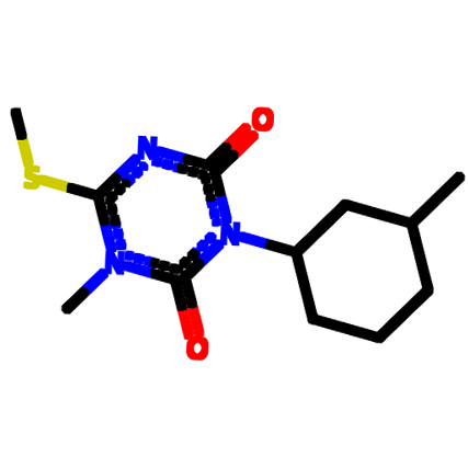 CSc1nc(=O)n(C2CCCC(C)C2)c(=O)n1C